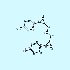 Clc1ccc(C2OC2COCC2OC2c2ccc(Cl)cc2)cc1